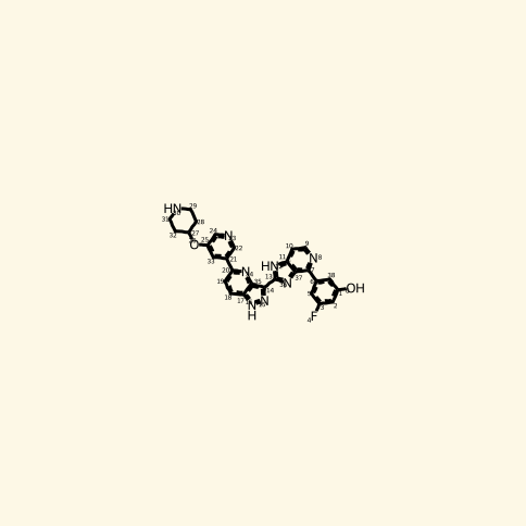 Oc1cc(F)cc(-c2nccc3[nH]c(-c4n[nH]c5ccc(-c6cncc(OC7CCNCC7)c6)nc45)nc23)c1